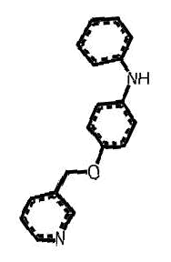 c1ccc(Nc2ccc(OCc3cccnc3)cc2)cc1